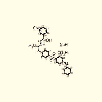 C[C@H](Cc1ccc(S(=O)(=O)c2ccc(Oc3ccccc3)cc2C(=O)O)cc1)NC[C@@H](O)c1cccc(Cl)c1.[NaH]